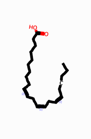 CCCCC/C=C\C/C=C\C/C=C\CCCCCCCCC(=O)O